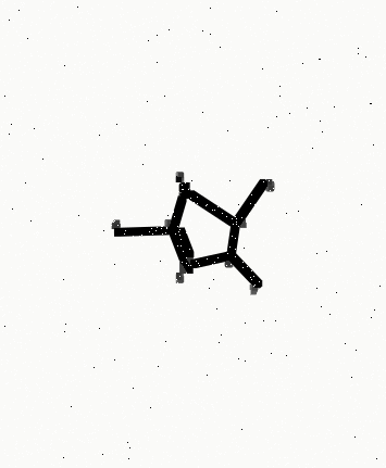 [CH2]C1SC(C)=NC1C